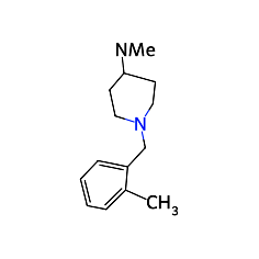 CNC1CCN(Cc2ccccc2C)CC1